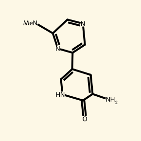 CNc1cncc(-c2c[nH]c(=O)c(N)c2)n1